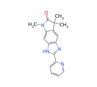 CN1C(=O)C(C)(C)c2cc3nc(-c4ccccn4)[nH]c3cc21